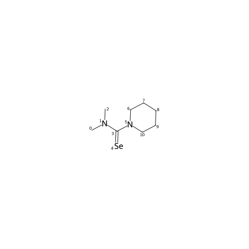 CN(C)C(=[Se])N1CCCCC1